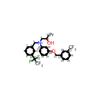 CC(C)C(O)CN(Cc1cccc(C(F)(F)C(F)(F)F)c1)c1cccc(OCc2cccc(C(F)(F)F)c2)c1